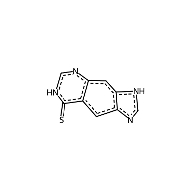 S=c1[nH]cnc2cc3[nH]cnc3cc12